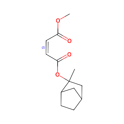 COC(=O)/C=C\C(=O)OC1(C)CC2CCC1C2